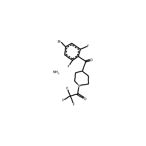 N.O=C(c1c(F)cc(Br)cc1F)C1CCN(C(=O)C(F)(F)F)CC1